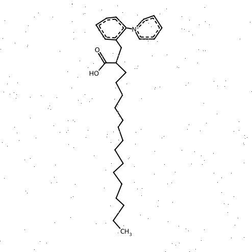 CCCCCCCCCCCCCCCC(Cc1ccccc1-[n+]1ccccc1)C(=O)O